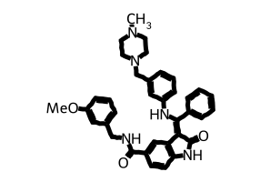 COc1cccc(CNC(=O)c2ccc3c(c2)C(=C(Nc2cccc(CN4CCN(C)CC4)c2)c2ccccc2)C(=O)N3)c1